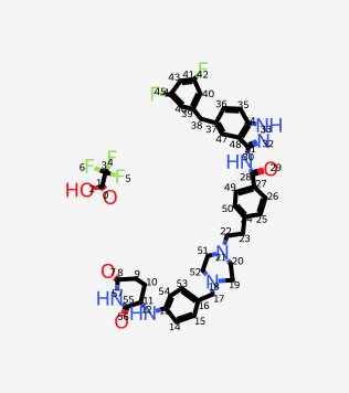 O=C(O)C(F)(F)F.O=C1CCC(Nc2ccc(CN3CCN(CCc4ccc(C(=O)Nc5n[nH]c6ccc(Cc7cc(F)cc(F)c7)cc56)cc4)CC3)cc2)C(=O)N1